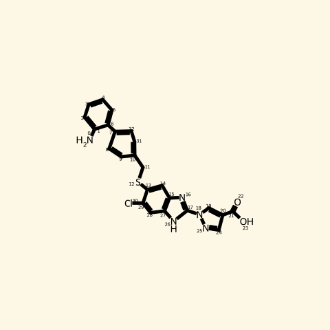 Nc1ccccc1-c1ccc(CSc2cc3nc(-n4cc(C(=O)O)cn4)[nH]c3cc2Cl)cc1